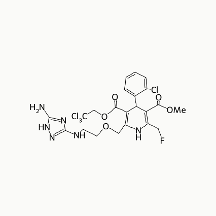 COC(=O)C1=C(CF)NC(COCCNc2n[nH]c(N)n2)=C(C(=O)OCC(Cl)(Cl)Cl)C1c1ccccc1Cl